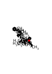 CCCCOC(=O)N1C2CCC(C2)C1C(=O)N[C@H](C(=O)N(C)[C@H]([C@H](CC(=O)N1CCC[C@H]1[C@H](OC)[C@@H](C)C(=O)N[C@H](C)[C@H](O)c1ccccc1)OC)[C@@H](C)CC)C(C)C